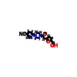 N#Cc1ccc(N2CCN(C(=O)CC3CCC(CO)O3)CC2)nc1